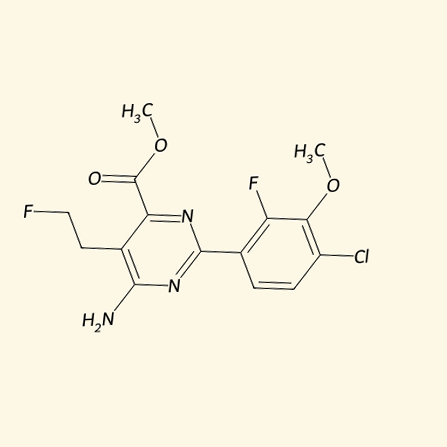 COC(=O)c1nc(-c2ccc(Cl)c(OC)c2F)nc(N)c1CCF